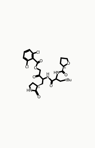 CC(C)(C)CC(NC(=O)[C@H]1CCCO1)C(=O)NC(C[C@@H]1CCNC1=O)C(=O)COC(=O)c1c(Cl)cccc1Cl